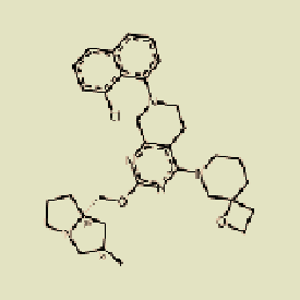 C[C@H]1CN2CCC[C@@]2(COc2nc3c(c(N4CCCC5(CCO5)C4)n2)CCN(c2cccc4cccc(Cl)c24)C3)C1